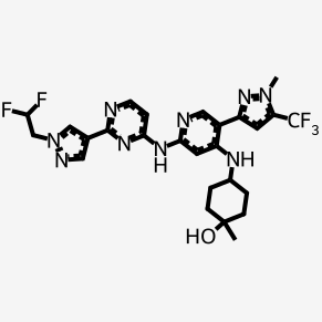 Cn1nc(-c2cnc(Nc3ccnc(-c4cnn(CC(F)F)c4)n3)cc2NC2CCC(C)(O)CC2)cc1C(F)(F)F